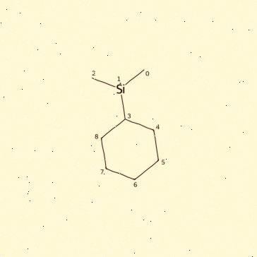 C[Si](C)C1CCCCC1